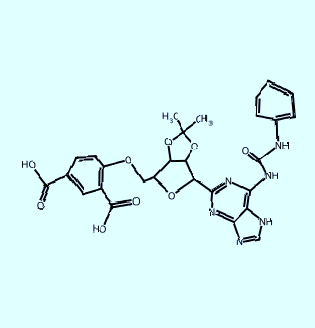 CC1(C)OC2C(COc3ccc(C(=O)O)cc3C(=O)O)OC(c3nc(NC(=O)Nc4ccccc4)c4[nH]cnc4n3)C2O1